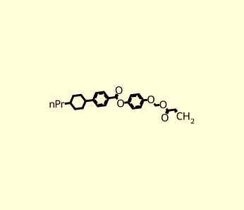 C=CC(=O)OCOc1ccc(OC(=O)c2ccc(C3CCC(CCC)CC3)cc2)cc1